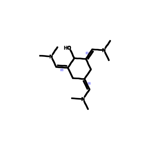 CN(C)/C=C1\C/C(=C/N(C)C)C(O)/C(=C/N(C)C)C1